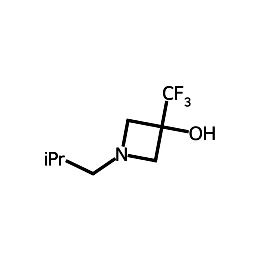 CC(C)CN1CC(O)(C(F)(F)F)C1